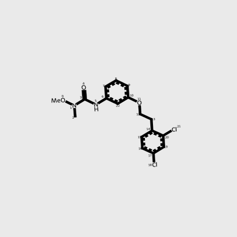 CON(C)C(=O)Nc1cccc(OCCc2ccc(Cl)cc2Cl)c1